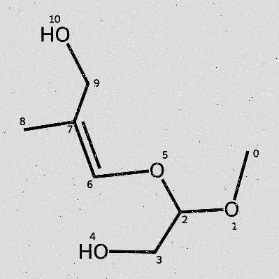 COC(CO)OC=C(C)CO